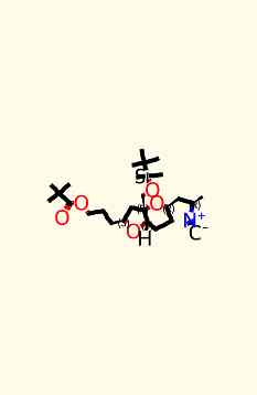 [C-]#[N+][C@H](C)C[C@H]1CC[C@@H]2O[C@@H](CCCOC(=O)C(C)(C)C)C[C@]2(CO[Si](C)(C)C(C)(C)C)O1